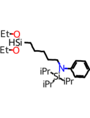 CCO[SiH](CCCCCN(c1ccccc1)[Si](C(C)C)(C(C)C)C(C)C)OCC